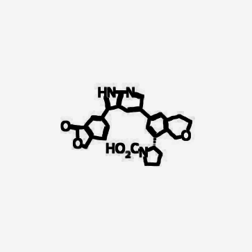 O=C1OCc2ccc(-c3c[nH]c4ncc(-c5cc6c(c([C@@H]7CCCN7C(=O)O)c5)COCC6)cc34)cc21